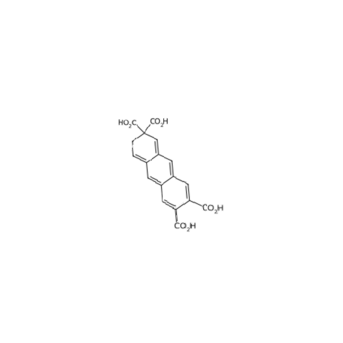 O=C(O)c1cc2cc3c(cc2cc1C(=O)O)=CC(C(=O)O)(C(=O)O)CC=3